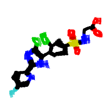 O=C(O)CNS(=O)(=O)c1ccc(-c2[nH]c(-c3ccc(F)cn3)nc2Cl)c(Cl)c1